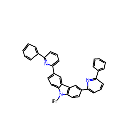 CC(C)n1c2ccc(-c3cccc(-c4ccccc4)n3)cc2c2cc(-c3cccc(-c4ccccc4)n3)ccc21